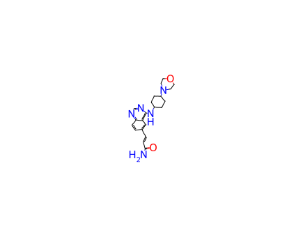 NC(=O)C=Cc1ccc2ncnc(NC3CCC(N4CCOCC4)CC3)c2c1